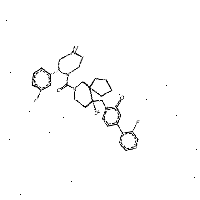 O=C(N1CC[C@@](O)(Cn2ccc(-c3ccccc3F)cc2=O)C2(CCCC2)C1)N1CCNC[C@H]1c1cccc(F)c1